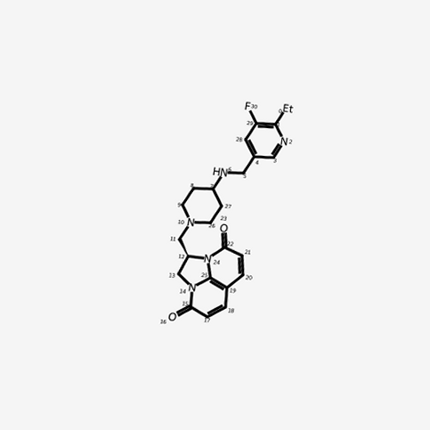 CCc1ncc(CNC2CCN(C[C@@H]3Cn4c(=O)ccc5ccc(=O)n3c54)CC2)cc1F